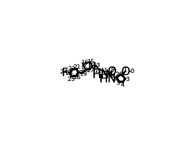 COc1cccc(NC(=O)NCCCN2CCCC(Cc3ccc(F)cc3)C2)c1